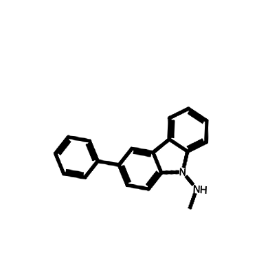 CNn1c2ccccc2c2cc(-c3ccccc3)ccc21